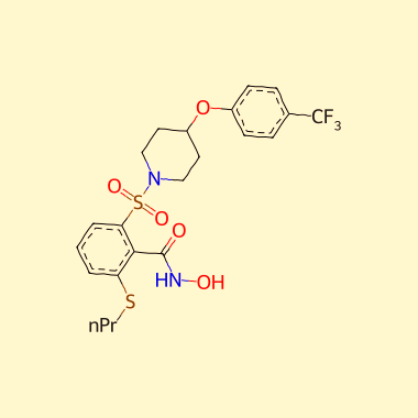 CCCSc1cccc(S(=O)(=O)N2CCC(Oc3ccc(C(F)(F)F)cc3)CC2)c1C(=O)NO